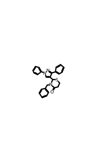 O=C1CCSC(c2cn(-c3ccccc3)nc2-c2ccccc2)N1Cc1ccccc1